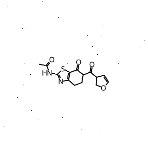 CC(=O)Nc1nc2c(s1)C(=O)C(C(=O)C1C=COC1)CC2